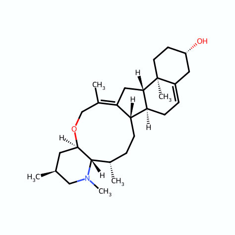 C/C1=C2\C[C@H]3[C@@H](CC=C4C[C@@H](O)CC[C@@]43C)[C@@H]2CC[C@H](C)[C@H]2[C@@H](C[C@H](C)CN2C)OC1